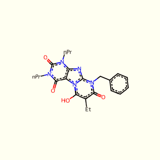 CCCn1c(=O)c2c(nc3n(Cc4ccccc4)c(=O)c(CC)c(O)n23)n(CCC)c1=O